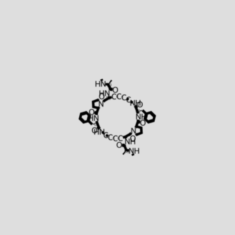 CN[C@@H](C)C(=O)NC1CCCCNC(=O)[C@H](Cc2ccccc2)NC(=O)C2CCCN2C(=O)[C@@H](NC(=O)[C@H](C)NC)CCCCNC(=O)[C@H](Cc2ccccc2)NC(=O)C2CCCN2C1=O